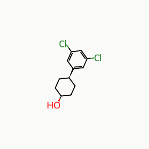 O[C@H]1CC[C@@H](c2cc(Cl)cc(Cl)c2)CC1